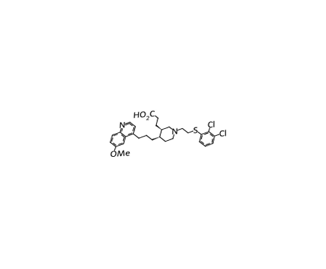 COc1ccc2nccc(CCC[C@@H]3CCN(CCSc4cccc(Cl)c4Cl)C[C@@H]3CCC(=O)O)c2c1